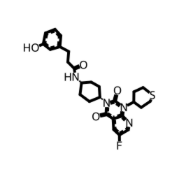 O=C(CCc1cccc(O)c1)N[C@H]1CC[C@@H](n2c(=O)c3cc(F)cnc3n(C3CCSCC3)c2=O)CC1